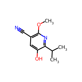 COc1nc(C(C)C)c(O)cc1C#N